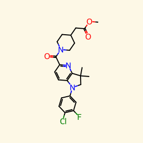 COC(=O)CC1CCN(C(=O)c2ccc3c(n2)C(C)(C)CN3c2ccc(Cl)c(F)c2)CC1